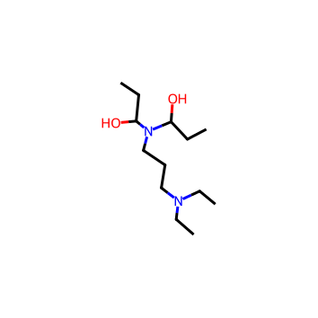 CCC(O)N(CCCN(CC)CC)C(O)CC